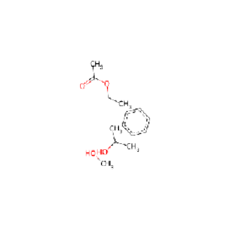 CC(C)O.CCOC(C)=O.CO.c1ccccc1